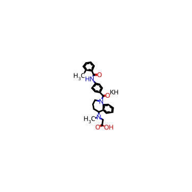 Cc1ccccc1C(=O)Nc1ccc(C(=O)N2CCCC(N(C)CC(=O)O)c3ccccc32)cc1.[KH]